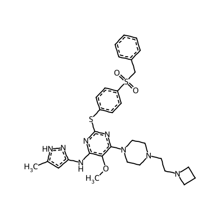 COc1c(Nc2cc(C)[nH]n2)nc(Sc2ccc(S(=O)(=O)Cc3ccccc3)cc2)nc1N1CCN(CCN2CCC2)CC1